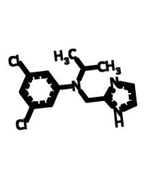 CC(C)N(Cc1ncc[nH]1)c1cc(Cl)cc(Cl)c1